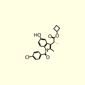 Cc1c([C@@H](C)C(=O)OC2CCC2)c2cc(O)ccc2n1C(=O)c1ccc(Cl)cc1